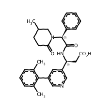 Cc1cccc(C)c1-c1cncc([C@H](CC(=O)O)NC(=O)[C@H](c2ccccc2)N2CC(C)CCC2=O)c1